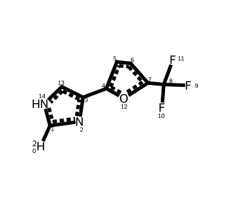 [2H]c1nc(-c2ccc(C(F)(F)F)o2)c[nH]1